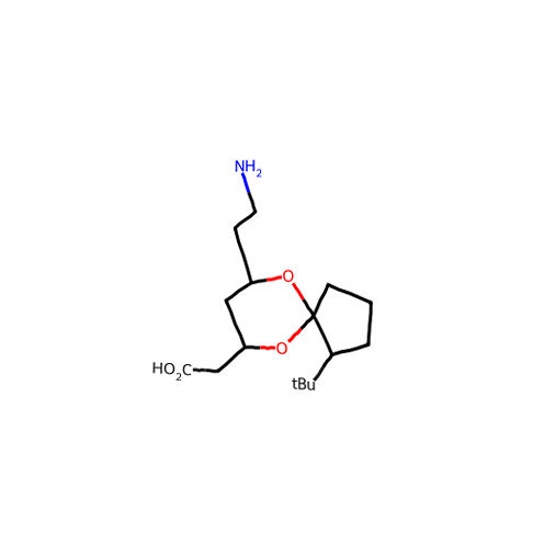 CC(C)(C)C1CCCC12OC(CCN)CC(CC(=O)O)O2